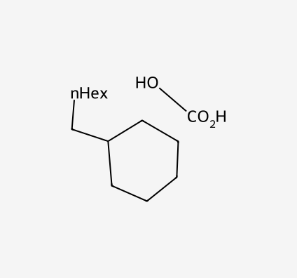 CCCCCCCC1CCCCC1.O=C(O)O